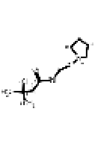 CC(C)(C)CC(=O)NCCN1CCCC1